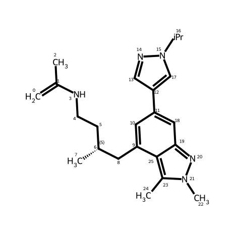 C=C(C)NCC[C@@H](C)Cc1cc(-c2cnn(C(C)C)c2)cc2nn(C)c(C)c12